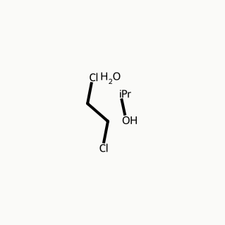 CC(C)O.ClCCCl.O